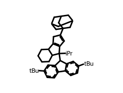 CC(C)C1(C2c3cc(C(C)(C)C)ccc3-c3ccc(C(C)(C)C)cc32)C2=C(CC(C34CC5CC(CC(C5)C3)C4)=C2)C2CCCCC21